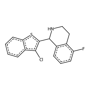 Fc1cccc2c1CCNC2c1sc2ccccc2c1Cl